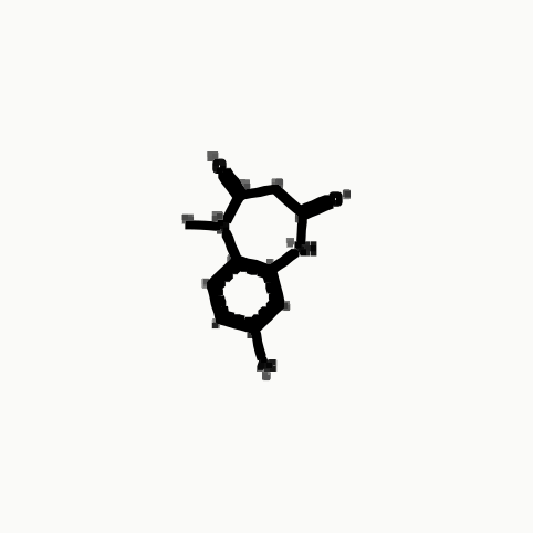 CC(=O)c1ccc2c(c1)NC(=O)CC(=O)N2C